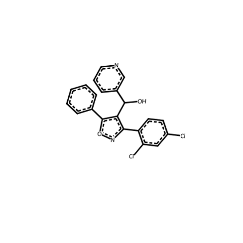 OC(c1cccnc1)c1c(-c2ccc(Cl)cc2Cl)noc1-c1ccccc1